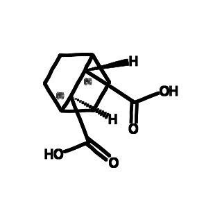 O=C(O)[C@H]1C2CCC(CC2)[C@@H]1C(=O)O